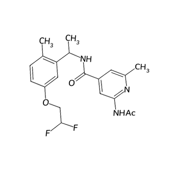 CC(=O)Nc1cc(C(=O)NC(C)c2cc(OCC(F)F)ccc2C)cc(C)n1